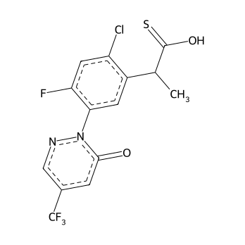 CC(C(O)=S)c1cc(-n2ncc(C(F)(F)F)cc2=O)c(F)cc1Cl